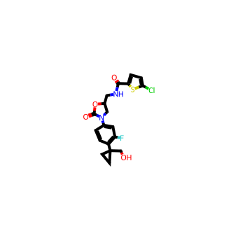 O=C(NCC1CN(c2ccc(C3(CO)CC3)c(F)c2)C(=O)O1)c1ccc(Cl)s1